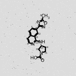 Cc1nc(-c2ccc3ccnc(N[C@@H]4CCN(C(=O)O)C4)c3c2)no1